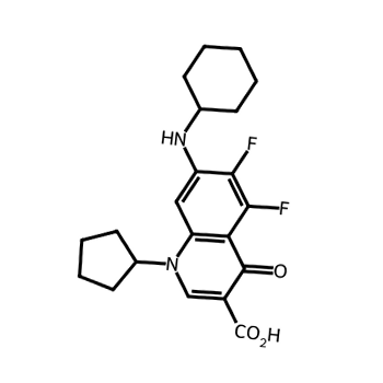 O=C(O)c1cn(C2CCCC2)c2cc(NC3CCCCC3)c(F)c(F)c2c1=O